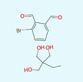 CCC(CO)(CO)CO.O=Cc1cccc(Br)c1C=O